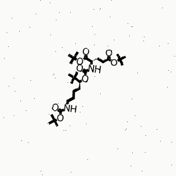 CC(C)(C)OC(=O)CC[C@H](NC(=O)O[C@@H](CCCCNC(=O)OC(C)(C)C)C(C)(C)C)C(=O)OC(C)(C)C